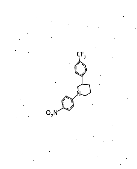 O=[N+]([O-])c1ccc(N2CCCC(c3ccc(C(F)(F)F)cc3)C2)cc1